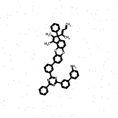 C=C/C=C(\C)C1(c2ccccc2)C(C)=C(C)c2c1ccc1c2Oc2cc(-c3cccc(-c4nc(-c5ccccc5)nc(-c5cccc(-c6cccc(N)c6)c5)n4)c3)ccc2O1